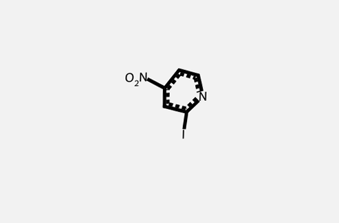 O=[N+]([O-])c1ccnc(I)c1